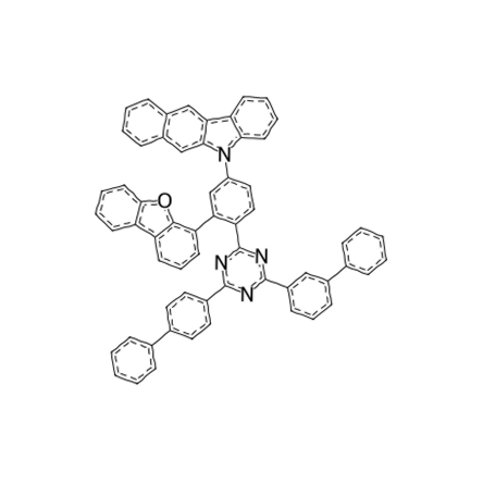 c1ccc(-c2ccc(-c3nc(-c4cccc(-c5ccccc5)c4)nc(-c4ccc(-n5c6ccccc6c6cc7ccccc7cc65)cc4-c4cccc5c4oc4ccccc45)n3)cc2)cc1